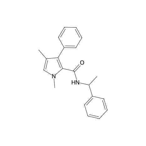 Cc1cn(C)c(C(=O)NC(C)c2ccccc2)c1-c1ccccc1